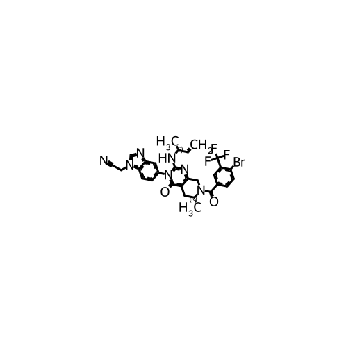 C=C[C@H](C)Nc1nc2c(c(=O)n1-c1ccc3c(c1)ncn3CC#N)C[C@@H](C)N(C(=O)c1ccc(Br)c(C(F)(F)F)c1)C2